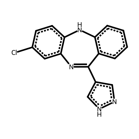 Clc1ccc2c(c1)N=C(c1cn[nH]c1)c1ccccc1N2